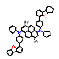 CC(C)c1cc(N(c2ccccc2)c2ccc(-c3cccc4c3oc3ccccc34)cc2)c2ccc3c(C(C)C)cc(N(c4ccccc4)c4ccc(-c5cccc6c5oc5ccccc56)cc4)c4ccc1c2c34